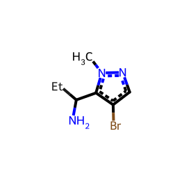 CCC(N)c1c(Br)cnn1C